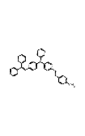 Cc1ccc(C=Cc2ccc(N(c3ccccc3)c3ccc(C=C(c4ccccc4)c4ccccc4)cc3)cc2)cc1